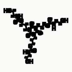 O=C(NCCO)OCCCn1c(=O)n(CCCOC(=O)NCCO)c(=O)n(CCCOC(=O)NCCO)c1=O